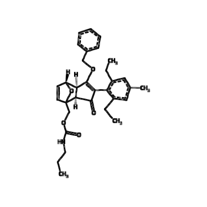 CCCNC(=O)OCC12C=C[C@@H](O1)[C@H]1C(OCc3ccccc3)=C(c3c(CC)cc(C)cc3CC)C(=O)[C@H]12